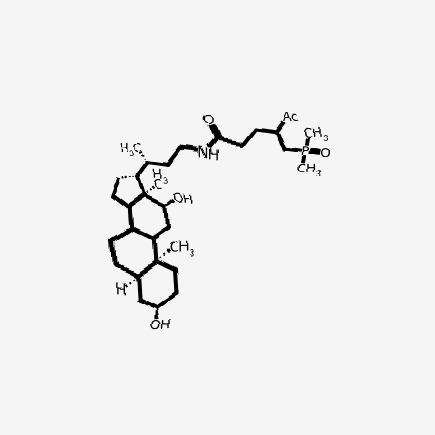 CC(=O)C(CCC(=O)NCC[C@@H](C)[C@H]1CCC2C3CC[C@@H]4C[C@H](O)CC[C@]4(C)C3C[C@H](O)[C@@]21C)CP(C)(C)=O